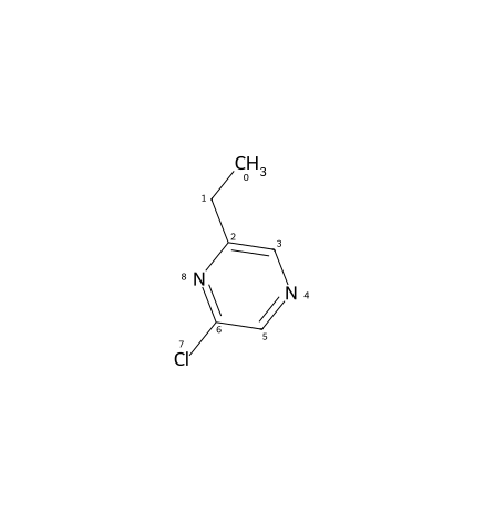 CCc1cncc(Cl)n1